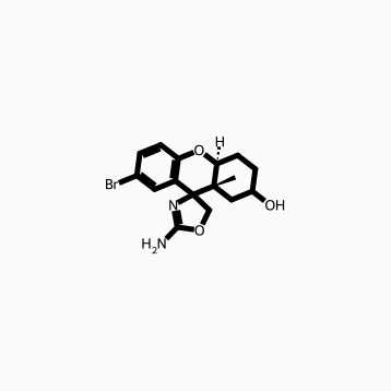 C[C@]12CC(O)CC[C@@H]1Oc1ccc(Br)cc1C21COC(N)=N1